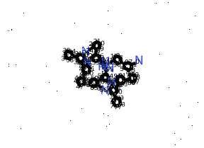 N#Cc1cccc(-c2cccc(-c3nc(-c4cc(-c5ccccc5C#N)cc(-n5c6ccc(-c7ccccc7)cc6c6cc(-c7ccccc7)ccc65)c4)nc(-c4cc(-c5ccccc5C#N)cc(-n5c6ccc(-c7ccccc7)cc6c6cc(-c7ccccc7)ccc65)c4)n3)c2)c1